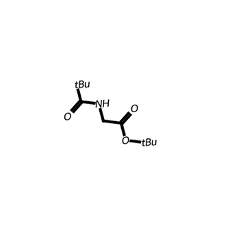 CC(C)(C)OC(=O)CNC(=O)C(C)(C)C